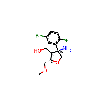 COC[C@H]1OC[C@@](N)(c2cc(Br)ccc2F)[C@@H]1CO